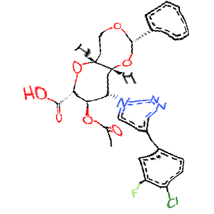 CC(=O)O[C@@H]1[C@@H](n2cc(-c3ccc(Cl)c(F)c3)nn2)[C@H]2O[C@@H](c3ccccc3)OC[C@H]2O[C@H]1C(=O)O